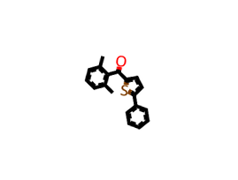 Cc1cccc(C)c1C(=O)c1ccc(-c2ccccc2)s1